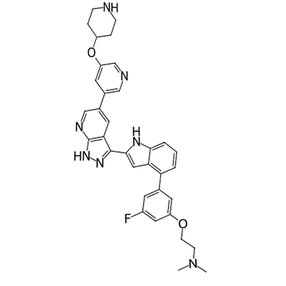 CN(C)CCOc1cc(F)cc(-c2cccc3[nH]c(-c4n[nH]c5ncc(-c6cncc(OC7CCNCC7)c6)cc45)cc23)c1